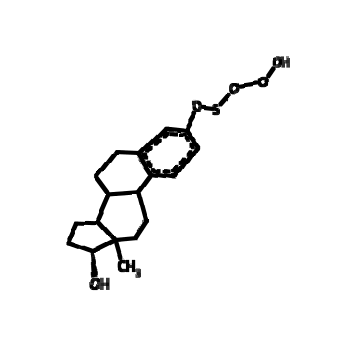 CC12CCC3c4ccc(OSOOO)cc4CCC3C1CC[C@@H]2O